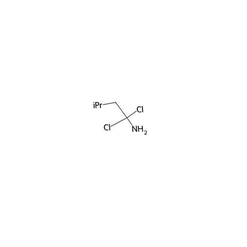 CC(C)CC(N)(Cl)Cl